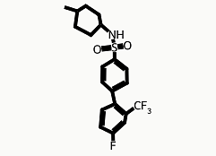 CC1CCC(NS(=O)(=O)c2ccc(-c3ccc(F)cc3C(F)(F)F)cc2)CC1